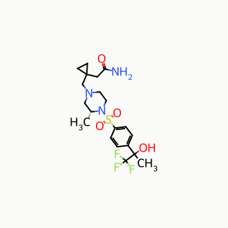 C[C@@H]1CN(CC2(CC(N)=O)CC2)CCN1S(=O)(=O)c1ccc(C(C)(O)C(F)(F)F)cc1